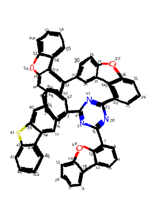 c1ccc(-c2nc(-c3cccc4c3oc3ccccc34)nc(-c3cccc4oc5ccc(-c6cc(-c7ccc8c(c7)sc7ccccc78)cc7oc8ccccc8c67)cc5c34)n2)cc1